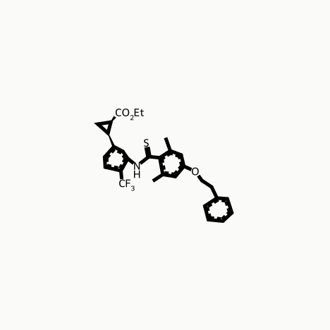 CCOC(=O)[C@@H]1C[C@@H]1c1ccc(C(F)(F)F)c(NC(=S)c2c(C)cc(OCCc3ccccc3)cc2C)c1